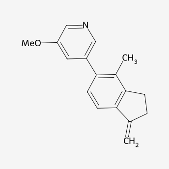 C=C1CCc2c1ccc(-c1cncc(OC)c1)c2C